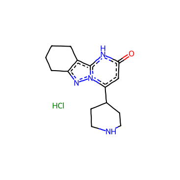 Cl.O=c1cc(C2CCNCC2)n2nc3c(c2[nH]1)CCCC3